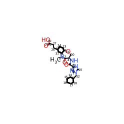 CN1C(=O)C(NC(=O)c2ncn(Cc3ccccc3)n2)COc2ccc(CCC(=O)O)cc21